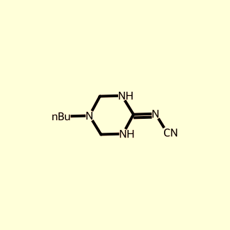 CCCCN1CNC(=NC#N)NC1